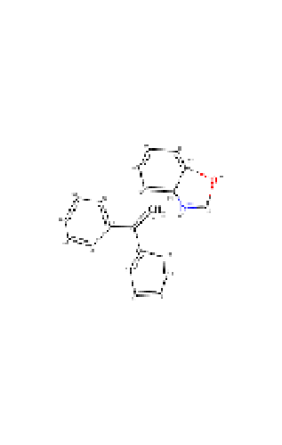 C=C(c1ccccc1)c1ccccc1.c1ccc2ocnc2c1